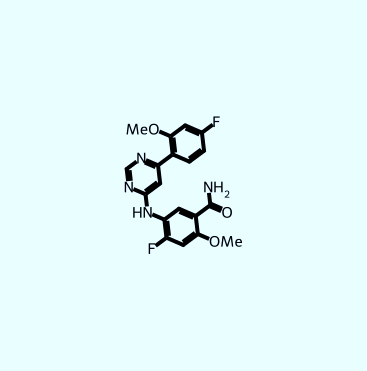 COc1cc(F)c(Nc2cc(-c3ccc(F)cc3OC)ncn2)cc1C(N)=O